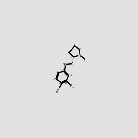 CN1CCC[C@H]1COc1ccc(F)c(F)c1